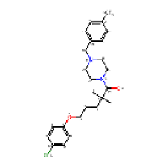 CC(C)(CCCOc1ccc(Cl)cc1)C(=O)N1CCN(Cc2ccc(C(F)(F)F)cc2)CC1